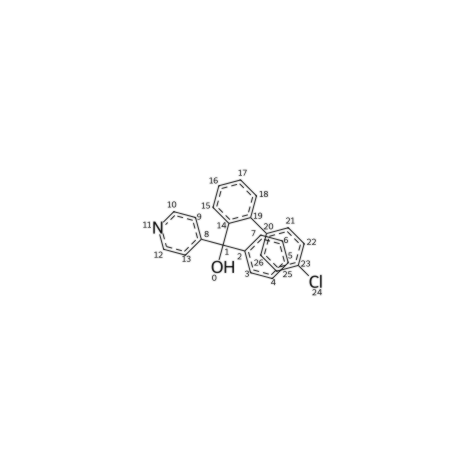 OC(c1ccccc1)(c1ccncc1)c1ccccc1-c1ccc(Cl)cc1